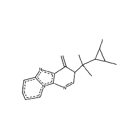 C=C1c2nc3ccccn3c2N=CC1C(C)(C)C1C(C)C1C